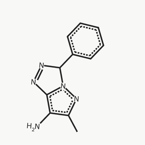 Cc1nn2c(c1N)N=NC2c1ccccc1